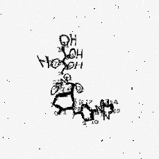 Cc1cc2c(cc1Cc1ccc(-n3nccn3)cc1)C(=O)N(OC[C@H](O)[C@@H](O)C(O)CO)CO2